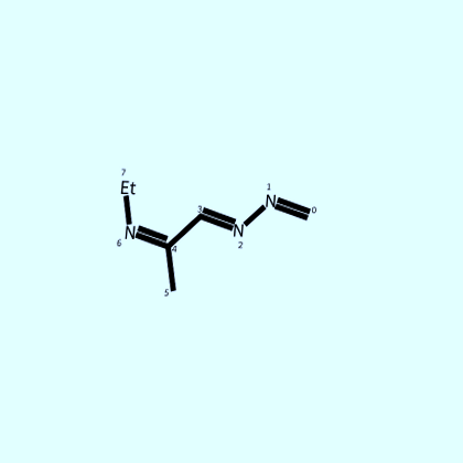 C=N/N=C/C(C)=N\CC